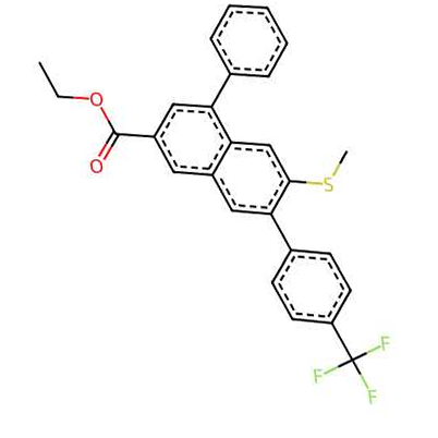 CCOC(=O)c1cc(-c2ccccc2)c2cc(SC)c(-c3ccc(C(F)(F)F)cc3)cc2c1